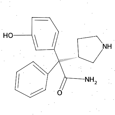 NC(=O)C(c1ccccc1)(c1cccc(O)c1)[C@@H]1CCNC1